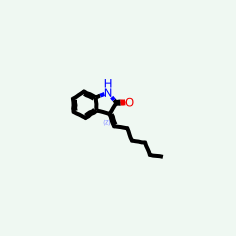 CCCCC/C=C1\C(=O)Nc2ccccc21